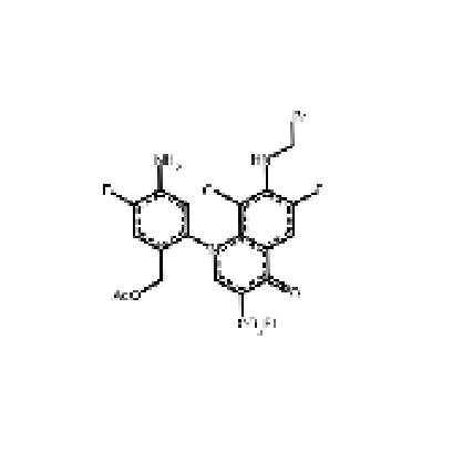 CCOC(=O)c1cn(-c2cc(N)c(F)cc2COC(C)=O)c2c(Cl)c(NCC(C)C)c(F)cc2c1=O